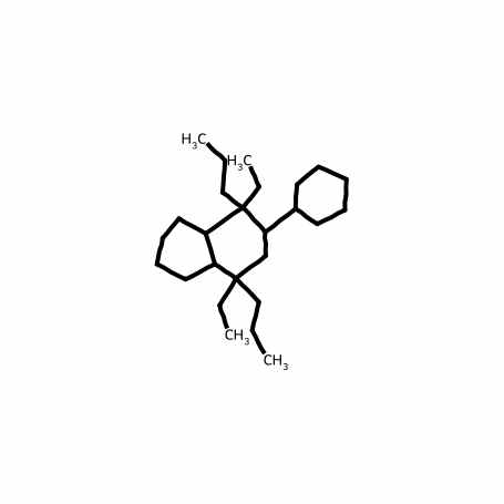 CCCC1(CC)CC(C2CCCCC2)C(CC)(CCC)C2CCCCC21